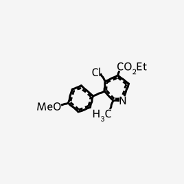 CCOC(=O)c1cnc(C)c(-c2ccc(OC)cc2)c1Cl